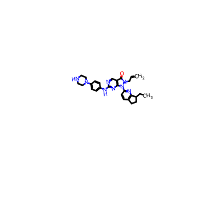 C=CCn1c(=O)c2cnc(Nc3ccc(N4CCNCC4)cc3)nc2n1-c1ccc2c(n1)C(CC)CC2